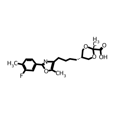 Cc1ccc(-c2nc(CCCC[C@H]3CO[C@@](C)(C(=O)O)OC3)c(C)o2)cc1F